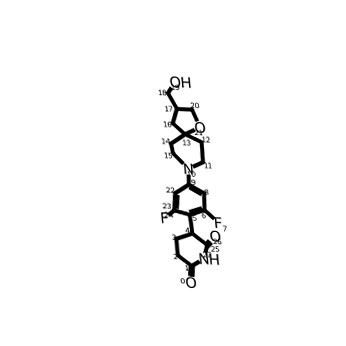 O=C1CCC(c2c(F)cc(N3CCC4(CC3)CC(CO)CO4)cc2F)C(=O)N1